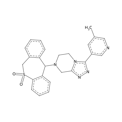 Cc1cncc(-c2nnc3n2CCN(C2c4ccccc4CS(=O)(=O)c4ccccc42)C3)c1